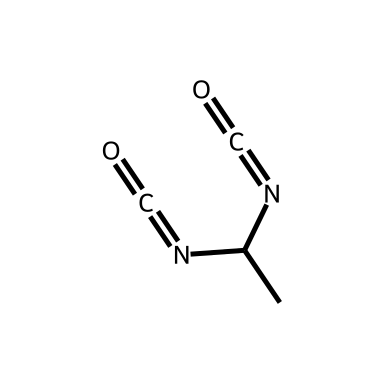 CC(N=C=O)N=C=O